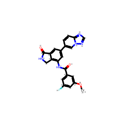 O=C(Nc1cc(-c2ccc3ncnn3c2)cc2c1CNC2=O)c1cc(F)cc(OC(F)(F)F)c1